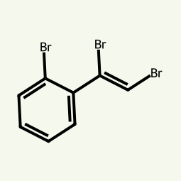 BrC=C(Br)c1ccccc1Br